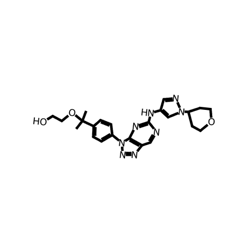 CC(C)(OCCO)c1ccc(-n2nnc3cnc(Nc4cnn(C5CCOCC5)c4)nc32)cc1